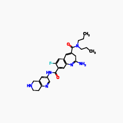 CCCN(CCC)C(=O)C1=Cc2cc(F)c(C(=O)Nc3cnc4c(c3)CNCC4)cc2N=C(N)C1